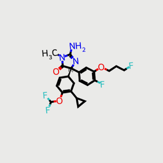 CN1C(=O)[C@](c2ccc(F)c(OCCCF)c2)(C2C=CC(OC(F)F)=C(C3CC3)C2)N=C1N